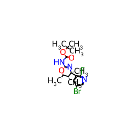 CC1OC(NC(=O)OC(C)(C)C)=N[C@@](C)(c2cc(Br)cnc2F)[C@@H]1C